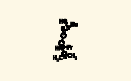 CCC(C)CN(CCO)CC(=O)N1CCC(c2ccc3[nH]c(-c4cc(C)nc(C)c4)c(C(C)C)c3c2)CC1